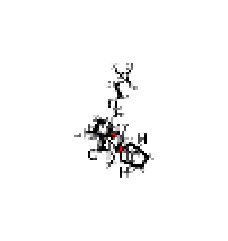 Cn1c(N2[C@@H]3CC[C@H]2C[C@@H](NC(=O)O)C3)nc2c(c(I)cn2COCC[Si](C)(C)C)c1=O